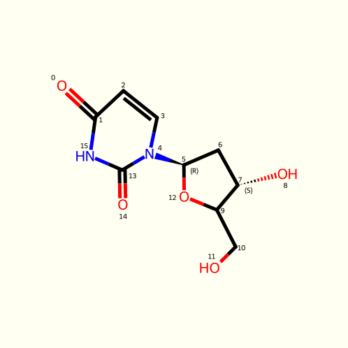 O=c1ccn([C@H]2C[C@H](O)C(CO)O2)c(=O)[nH]1